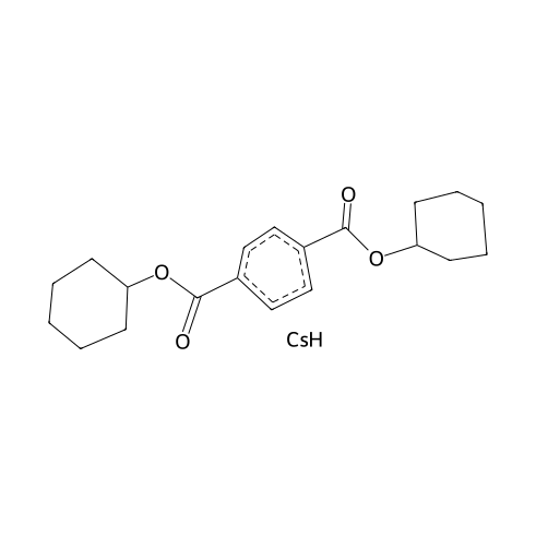 O=C(OC1CCCCC1)c1ccc(C(=O)OC2CCCCC2)cc1.[CsH]